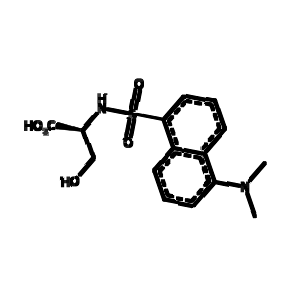 CN(C)c1cccc2c(S(=O)(=O)N[C@@H](CO)C(=O)O)cccc12